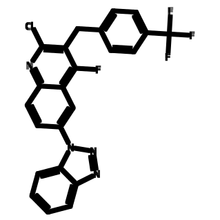 Fc1c(Cc2ccc(C(F)(F)F)cc2)c(Cl)nc2ccc(-n3nnc4ccccc43)cc12